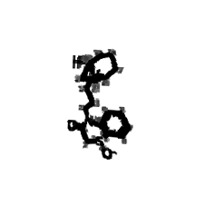 O=C1C[S+]([O-])c2ccccc2N1CCCN1C2CCC[C@@H]1CC2